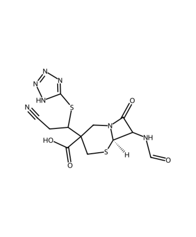 N#CCC(Sc1nnn[nH]1)C1(C(=O)O)CS[C@@H]2C(NC=O)C(=O)N2C1